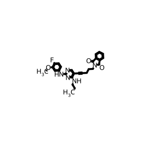 CCCNc1nc(Nc2ccc(F)c(OC)c2)ncc1C#CCCCN1C(=O)c2ccccc2C1=O